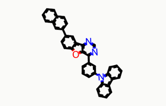 c1cc(-c2ncnc3c2oc2ccc(-c4ccc5ccccc5c4)cc23)cc(-n2c3ccccc3c3ccccc32)c1